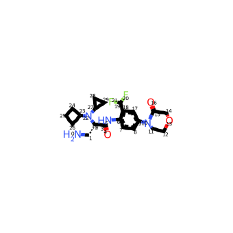 NC[C@@H](C(=O)Nc1ccc(N2CCOCC2=O)cc1C(F)F)N(C1CCC1)C1CC1